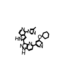 Cc1cn(-c2nccc3[nH]c(-c4n[nH]c5ccc(-c6cncc(OC7CCCCC7)c6)nc45)cc23)cn1